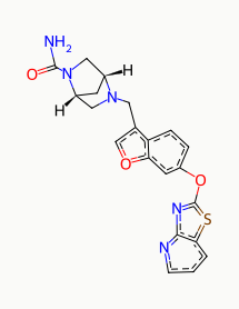 NC(=O)N1C[C@H]2C[C@@H]1CN2Cc1coc2cc(Oc3nc4ncccc4s3)ccc12